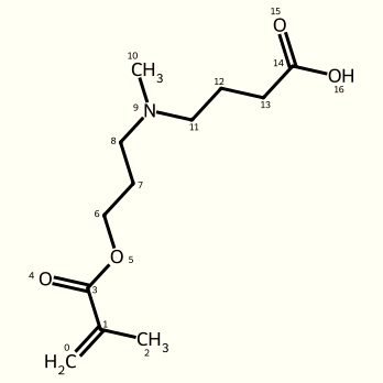 C=C(C)C(=O)OCCCN(C)CCCC(=O)O